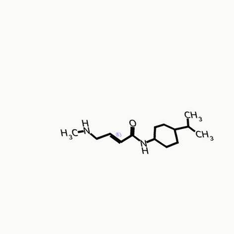 CNC/C=C/C(=O)NC1CCC(C(C)C)CC1